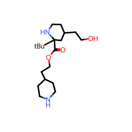 CC(C)(C)C1(C(=O)OCCC2CCNCC2)CC(CCO)CCN1